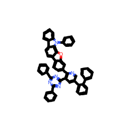 c1ccc(-c2nc(-c3ccccc3)nc(-c3cc(-c4ccccc4-c4ccccc4)cnc3-c3ccc4c(c3)oc3c4ccc4c5ccccc5n(-c5ccccc5)c43)n2)cc1